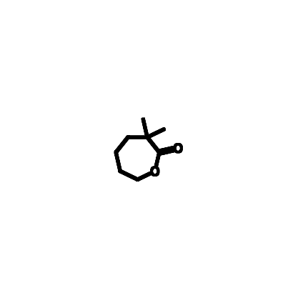 CC1(C)CCCCOC1=O